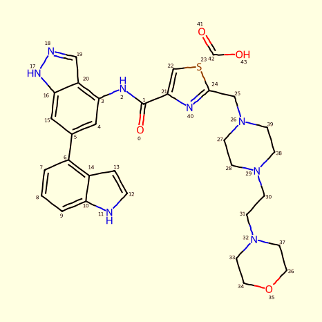 O=C(Nc1cc(-c2cccc3[nH]ccc23)cc2[nH]ncc12)c1csc(CN2CCN(CCN3CCOCC3)CC2)n1.O=CO